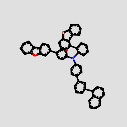 c1cc(-c2ccc(N(c3ccc(-c4ccc5c(c4)oc4ccccc45)cc3)c3ccccc3-c3cccc4sc5ccccc5c34)cc2)cc(-c2cccc3ccccc23)c1